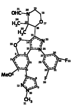 COc1cc2c(cc1-c1ccn(C)n1)-c1c(c(C3OCCN(C=O)C3(C)C)nn1-c1cc(F)cc(F)c1)CO2